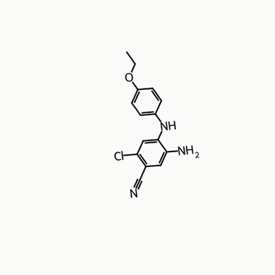 CCOc1ccc(Nc2cc(Cl)c(C#N)cc2N)cc1